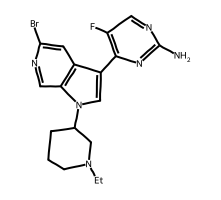 CCN1CCCC(n2cc(-c3nc(N)ncc3F)c3cc(Br)ncc32)C1